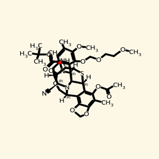 C=CCN1[C@@H]2c3c(cc(C)c(OC)c3OCOCCOC)C[C@H]1[C@H](C#N)N1C2[C@@H]2SC[C@@H](NC(=O)OC(C)(C)C)C(=O)OC[C@H]1c1c3c(c(C)c(OC(C)=O)c12)OCO3